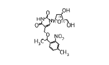 Cc1ccc(C(C)OCc2cn([C@H]3C[C@@H](O)[C@@H](CO)O3)c(=O)[nH]c2=O)c([N+](=O)[O-])c1